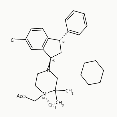 C1CCCCC1.CC(=O)OC[N@@+]1(C)CCN([C@@H]2C[C@@H](c3ccccc3)c3ccc(Cl)cc32)CC1(C)C